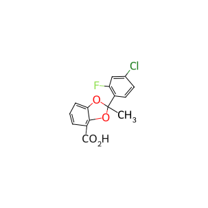 CC1(c2ccc(Cl)cc2F)Oc2cccc(C(=O)O)c2O1